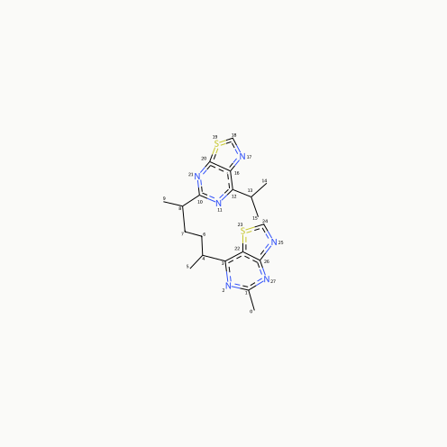 Cc1nc(C(C)CCC(C)c2nc(C(C)C)c3ncsc3n2)c2scnc2n1